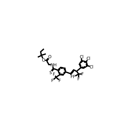 CCC(C)(C)OC(=O)CNC(=S)c1ccc(/C(F)=C/C(c2cc(Cl)c(Cl)c(Cl)c2)C(F)(F)F)cc1C(F)(F)F